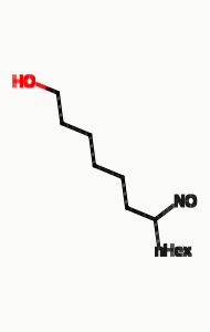 CCCCCCC(CCCCCCO)N=O